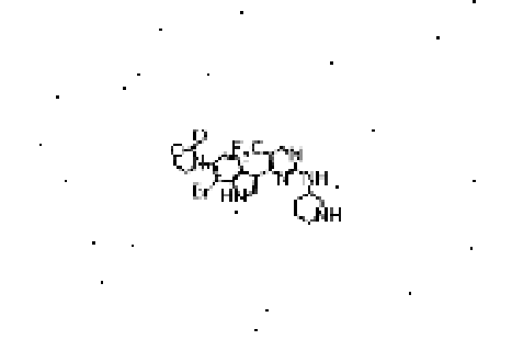 O=C1OCCN1c1ccc2c(-c3nc(NC4CCCNC4)ncc3C(F)(F)F)c[nH]c2c1Br